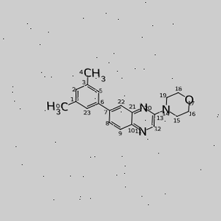 Cc1cc(C)cc(-c2ccc3ncc(N4CCOCC4)nc3c2)c1